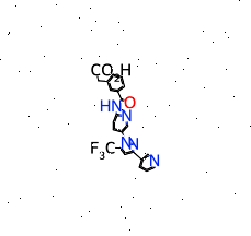 O=C(O)Cc1cccc(C(=O)Nc2ccc(-n3nc(-c4cccnc4)cc3C(F)(F)F)cn2)c1